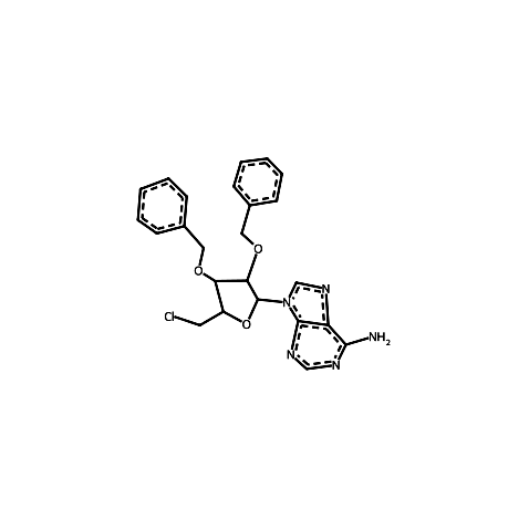 Nc1ncnc2c1ncn2C1OC(CCl)C(OCc2ccccc2)C1OCc1ccccc1